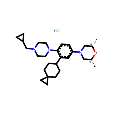 C[C@@H]1CN(c2ccc(N3CCN(CC4CC4)CC3)c(C3CCC4(CC3)CC4)c2)C[C@H](C)O1.Cl